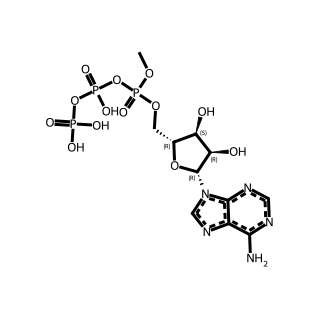 COP(=O)(OC[C@H]1O[C@@H](n2cnc3c(N)ncnc32)[C@H](O)[C@@H]1O)OP(=O)(O)OP(=O)(O)O